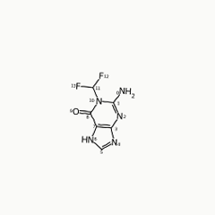 Nc1nc2nc[nH]c2c(=O)n1C(F)F